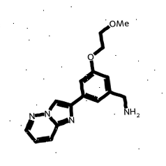 COCCOc1cc(CN)cc(-c2cn3ncccc3n2)c1